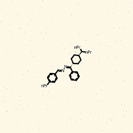 CCCc1ccc(C=NN=C(c2ccccc2)[C@H]2CC[C@H](C(CCC)CCC)CC2)cc1